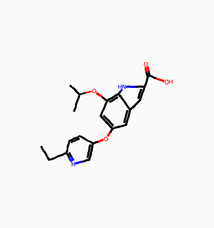 CCc1ccc(Oc2cc(OC(C)C)c3[nH]c(C(=O)O)cc3c2)cn1